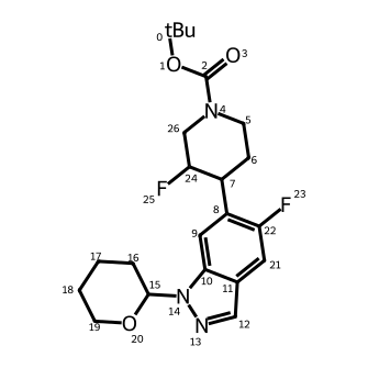 CC(C)(C)OC(=O)N1CCC(c2cc3c(cnn3C3CCCCO3)cc2F)C(F)C1